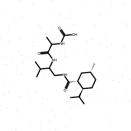 CC(NC(=O)O)C(=O)NC(CNC(=O)[C@@H]1C[C@H](C)CC[C@H]1C(C)C)C(C)C